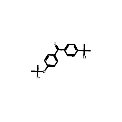 CCC(C)(C)Oc1ccc(C(=O)c2ccc(C(C)(C)CC)cc2)cc1